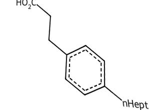 CCCCCCCc1ccc(CCC(=O)O)cc1